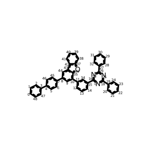 c1ccc(-c2ccc(-c3cc(-c4cccc(-c5nc(-c6ccccc6)nc(-c6ccccc6)n5)c4)c4oc5ccccc5c4c3)cc2)cc1